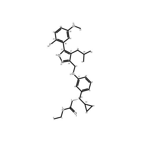 CCOC(=O)C[C@H](c1cccc(OCc2noc(-c3cc(OC)ccc3F)c2CC(C)C)c1)C1CC1